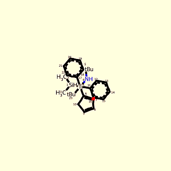 C[SiH](C)[Ti]([NH]C(C)(C)C)([C]1=CC=CC1)([c]1ccccc1)([c]1ccccc1)[C](C)(C)C